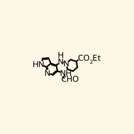 CCOC(=O)C1CCCN(Nc2c(NC=O)cnc3[nH]ccc23)C1